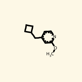 COc1cc(CC2CCC2)ccn1